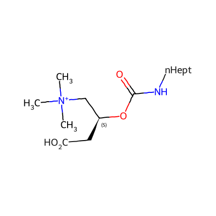 CCCCCCCNC(=O)O[C@@H](CC(=O)O)C[N+](C)(C)C